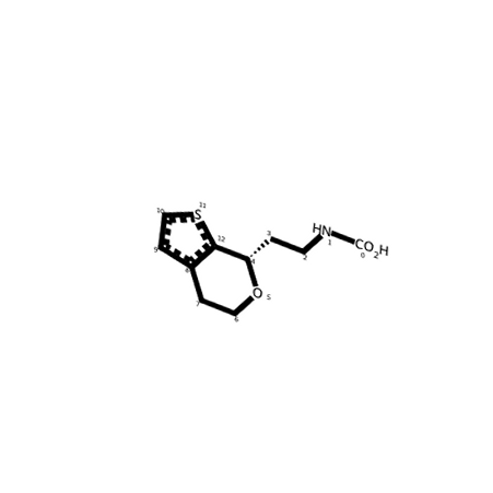 O=C(O)NCC[C@@H]1OCCc2ccsc21